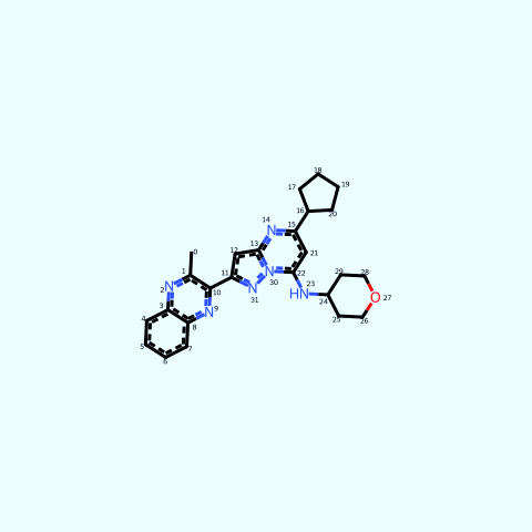 Cc1nc2ccccc2nc1-c1cc2nc(C3CCCC3)cc(NC3CCOCC3)n2n1